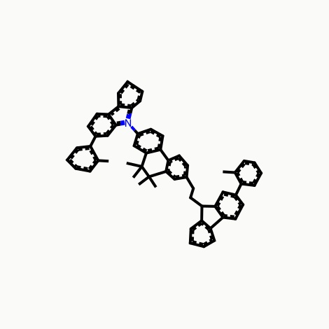 Cc1ccccc1-c1ccc2c(c1)C(CCc1ccc3c(c1)C(C)(C)C(C)(C)c1cc(-n4c5ccccc5c5ccc(-c6ccccc6C)cc54)ccc1-3)c1ccccc1-2